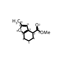 COC(=O)C1CCCc2oc(C)cc21